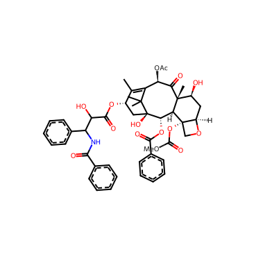 COC(=O)O[C@@]12CO[C@@H]1C[C@H](O)[C@@]1(C)C(=O)[C@H](OC(C)=O)C3=C(C)[C@@H](OC(=O)C(O)C(NC(=O)c4ccccc4)c4ccccc4)C[C@@](O)([C@@H](OC(=O)c4ccccc4)[C@H]21)C3(C)C